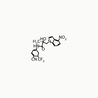 C[C@](O)(Cn1ccc2c([N+](=O)[O-])cccc21)C(=O)NC1=CC=C(C#N)C(C(F)(F)F)C1